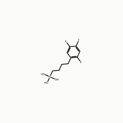 O[Si](O)(O)CCCCc1cc(F)c(F)cc1F